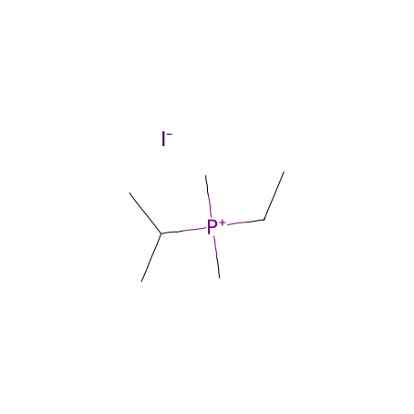 CC[P+](C)(C)C(C)C.[I-]